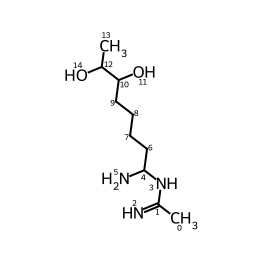 CC(=N)NC(N)CCCCC(O)C(C)O